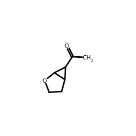 CC(=O)C1C2CCOC21